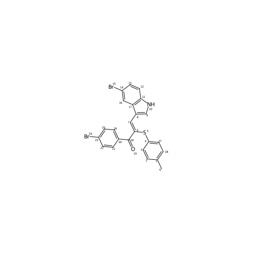 Cc1ccc(SC(=Cc2c[nH]c3ccc(Br)cc23)C(=O)c2ccc(Br)cc2)cc1